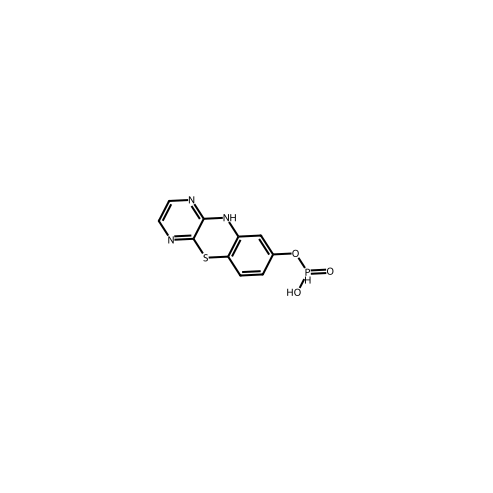 O=[PH](O)Oc1ccc2c(c1)Nc1nccnc1S2